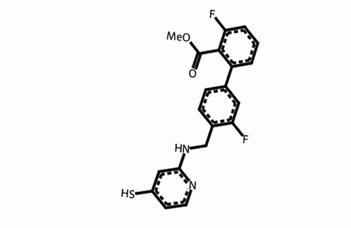 COC(=O)c1c(F)cccc1-c1ccc(CNc2cc(S)ccn2)c(F)c1